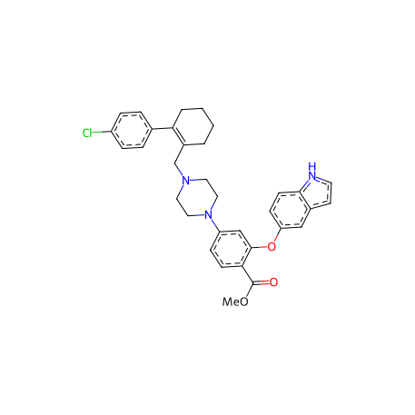 COC(=O)c1ccc(N2CCN(CC3=C(c4ccc(Cl)cc4)CCCC3)CC2)cc1Oc1ccc2[nH]ccc2c1